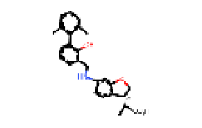 Cc1cccc(C)c1-c1cccc(CNc2ccc3c(c2)OC[C@H]3C(C)C(=O)O)c1O